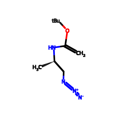 C=C(N[C@@H](C)CN=[N+]=[N-])OC(C)(C)C